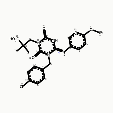 CC(C)Oc1ccc(/N=c2\[nH]c(=O)n(CC(C)(C)C(=O)O)c(=O)n2Cc2ccc(Cl)cc2)cn1